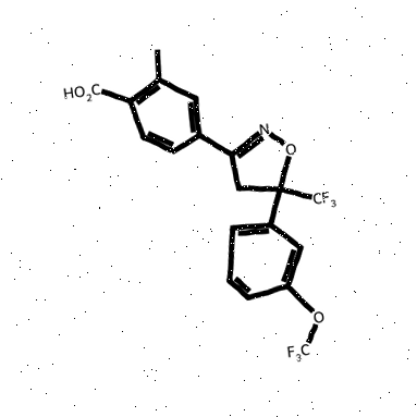 Cc1cc(C2=NOC(c3cccc(OC(F)(F)F)c3)(C(F)(F)F)C2)ccc1C(=O)O